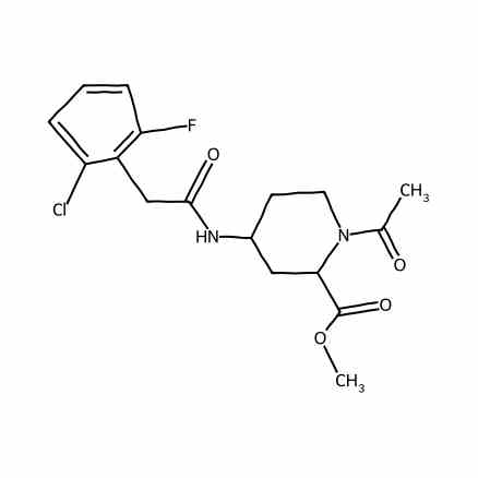 COC(=O)C1CC(NC(=O)Cc2c(F)cccc2Cl)CCN1C(C)=O